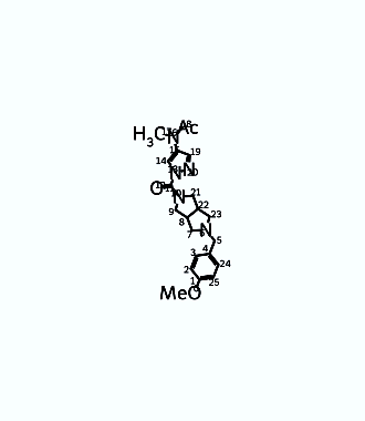 COc1ccc(CN2CC3CN(C(=O)n4cc(N(C)C(C)=O)cn4)CC3C2)cc1